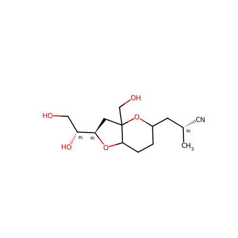 C[C@@H](C#N)CC1CCC2O[C@@H]([C@H](O)CO)CC2(CO)O1